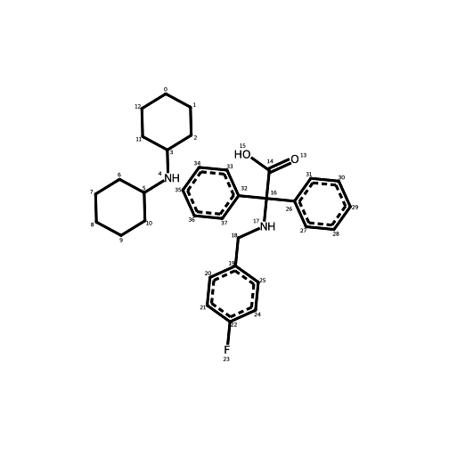 C1CCC(NC2CCCCC2)CC1.O=C(O)C(NCc1ccc(F)cc1)(c1ccccc1)c1ccccc1